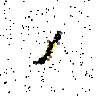 Cc1ccc2c(Br)c(-c3sc4c(sc5c6sc(-c7sc8cc(C)ccc8c7Br)c(Br)c6sc45)c3Br)sc2c1